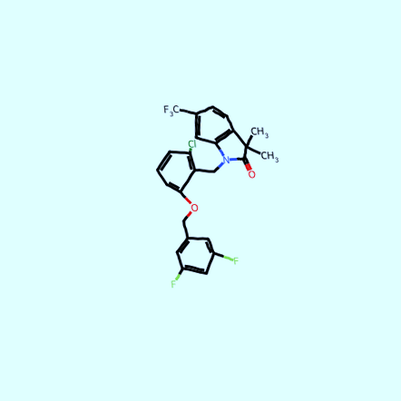 CC1(C)C(=O)N(Cc2c(Cl)cccc2OCc2cc(F)cc(F)c2)c2cc(C(F)(F)F)ccc21